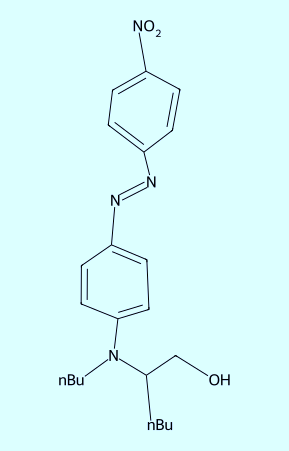 CCCCC(CO)N(CCCC)c1ccc(/N=N/c2ccc([N+](=O)[O-])cc2)cc1